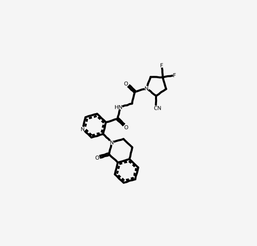 N#CC1CC(F)(F)CN1C(=O)CNC(=O)c1ccncc1N1CCc2ccccc2C1=O